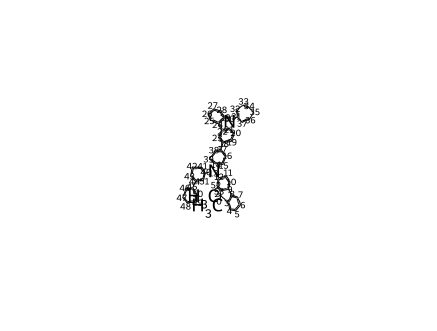 CC1(C)c2ccccc2-c2ccc(N(c3ccc(-c4ccc5c(c4)c4ccccc4n5C4=CC=CCC=C4)cc3)c3cccc(-c4ccccc4)c3)cc21